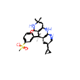 CC1(C)CC2=C(C(=O)N1)[C@](C)(c1cccc(S(C)(=O)=O)c1)c1cc(C3CC3)cnc1N2